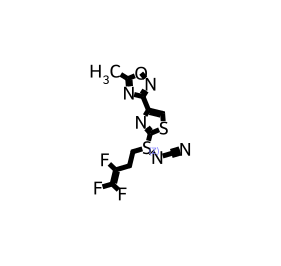 Cc1nc(-c2csc(/S(CCC(F)=C(F)F)=N\C#N)n2)no1